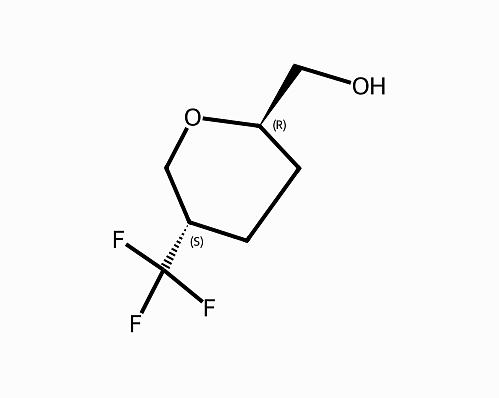 OC[C@H]1CC[C@H](C(F)(F)F)CO1